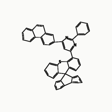 c1ccc(-c2nc(-c3ccc4c(ccc5ccccc54)c3)cc(-c3cccc4c3Sc3ccccc3C43c4ccccc4-c4ccccc43)n2)cc1